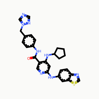 O=C(Nc1ccc(Cn2cncn2)cc1)c1cnc(Nc2ccc3ncsc3c2)cc1NC1CCCC1